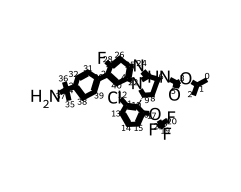 CC(C)OC(=O)N[C@@H]1C[C@H](c2c(Cl)cccc2OC(F)(F)F)n2c1nc1cc(F)c(-c3ccc(C(C)(C)N)cc3)cc12